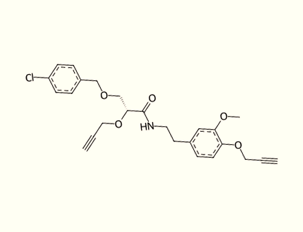 C#CCOc1ccc(CCNC(=O)[C@@H](COCc2ccc(Cl)cc2)OCC#C)cc1OC